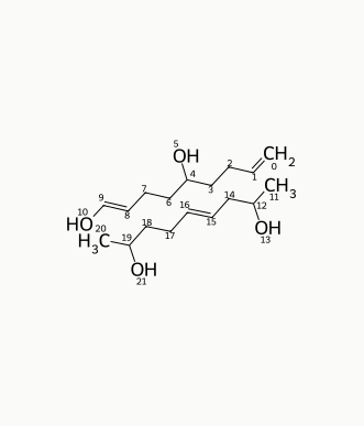 C=CCCC(O)CCC=CO.CC(O)CC=CCCC(C)O